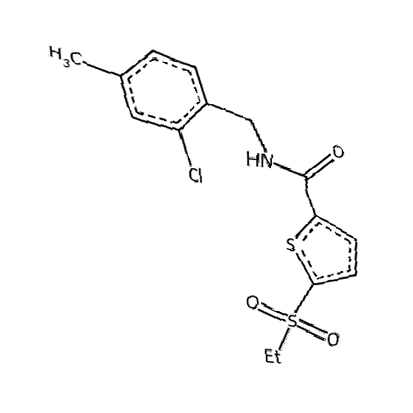 CCS(=O)(=O)c1ccc(C(=O)NCc2ccc(C)cc2Cl)s1